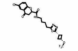 O=C1CC(C(=O)NCCCCc2nnc([C@H]3C[C@@H](OC(F)(F)F)C3)o2)Oc2ccc(Cl)cc21